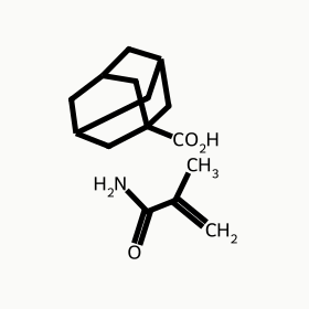 C=C(C)C(N)=O.O=C(O)C12CC3CC(CC(C3)C1)C2